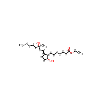 CCCCCC(C)(O)CC=C1CC[C@H](O)[C@@H]1CCCCCCC(=O)OCC